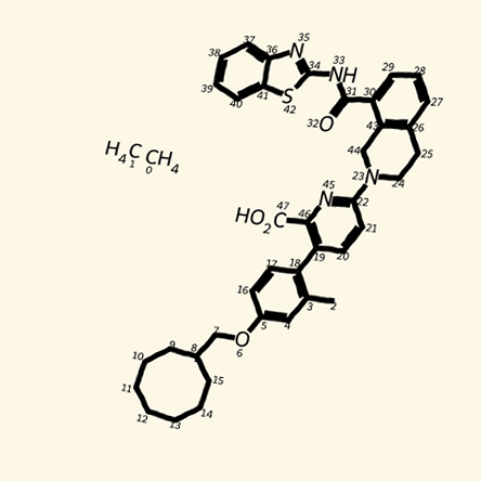 C.C.Cc1cc(OC[C]2CCCCCCC2)ccc1-c1ccc(N2CCc3cccc(C(=O)Nc4nc5ccccc5s4)c3C2)nc1C(=O)O